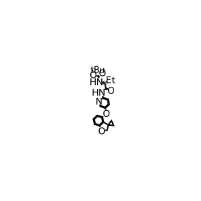 CC[C@@H](NC(=O)OC(C)(C)C)C(=O)Nc1ccc(Oc2cccc3c2C2(CC2)CO3)cn1